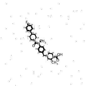 C[C@H]1CN(Cc2ccc(N(C)C(=O)N3CCC(c4ccc(F)cc4)CC3)cc2)CCN1C(=O)O